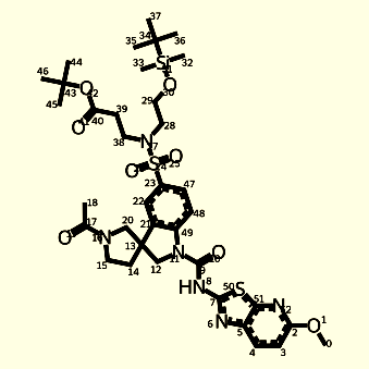 COc1ccc2nc(NC(=O)N3CC4(CCN(C(C)=O)C4)c4cc(S(=O)(=O)N(CCO[Si](C)(C)C(C)(C)C)CCC(=O)OC(C)(C)C)ccc43)sc2n1